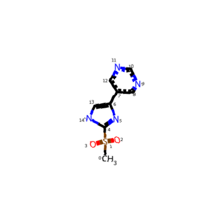 CS(=O)(=O)C1=NC(c2cncnc2)=C[N]1